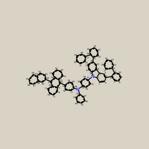 C1=CC2C(C=C1c1ccccc1-c1ccccc1)c1cc(-c3ccccc3-c3ccccc3)ccc1N2c1ccc(N(c2ccccc2)c2ccc(-c3c4ccccc4c(-c4ccc5ccccc5c4)c4ccccc34)cc2)cc1